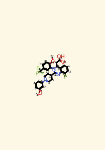 COc1cccc(N2CCC(C3=Nc4c(F)cccc4C(CC(=O)O)N3c3cc(C(F)(F)F)ccc3OC)CC2)c1